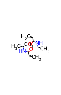 C=CC(=O)NC(C)C.C=CC(=O)NCC